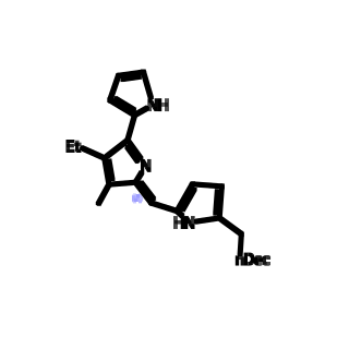 CCCCCCCCCCCc1ccc(/C=C2\N=C(c3ccc[nH]3)C(CC)=C2C)[nH]1